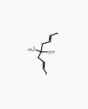 C/C=C/CC(C/C=C/C)(C(=O)O)C(=O)O